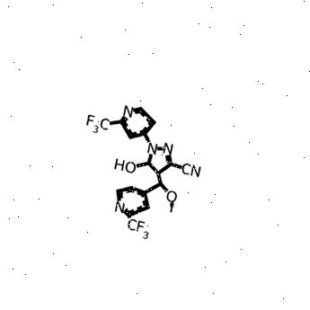 N#CC1=NN(c2ccnc(C(F)(F)F)c2)C(O)C1C(OI)c1ccnc(C(F)(F)F)c1